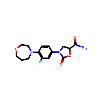 NC(=O)C1CN(c2ccc(N3CCCOCC3)c(F)c2)C(=O)O1